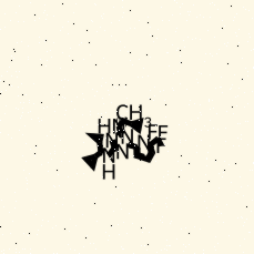 C[C@@H](Nc1nc(NC(C2CC2)C2CC2)nc(-c2cccc(C(F)(F)F)n2)n1)C1CC1